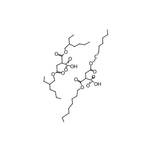 CCCCC(CC)COC(=O)CC(C(=O)OCC(CC)CCCC)S(=O)(=O)O.CCCCCCCCOC(=O)CC(C(=O)OCCCCCCCC)S(=O)(=O)O